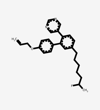 C=CCOc1ccc(-c2cc(CCCCCC(C)F)ccc2-c2cncnc2)cc1